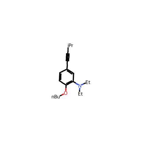 CCCCOc1ccc(C#CC(C)C)cc1N(CC)CC